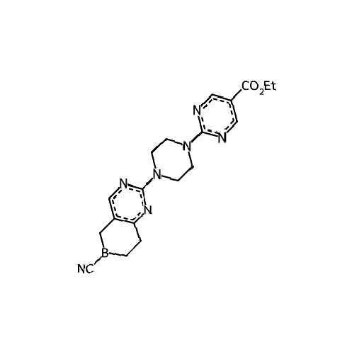 CCOC(=O)c1cnc(N2CCN(c3ncc4c(n3)CCB(C#N)C4)CC2)nc1